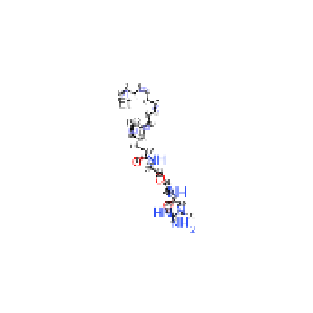 CC/C=C\C/C=C\C/C=C\C/C=C\C/C=C\CCCC(=O)NCCOCCNC(=O)CN(C)C(=N)N